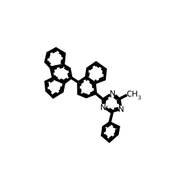 Cc1nc(-c2ccccc2)nc(-c2ccc(-c3cc4ccccc4c4ccccc34)c3ccccc23)n1